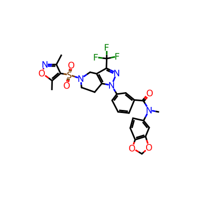 Cc1noc(C)c1S(=O)(=O)N1CCc2c(c(C(F)(F)F)nn2-c2cccc(C(=O)N(C)c3ccc4c(c3)OCO4)c2)C1